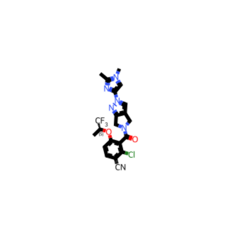 Cc1nc(-n2cc3c(n2)CN(C(=O)c2c(O[C@@H](C)C(F)(F)F)ccc(C#N)c2Cl)C3)cn1C